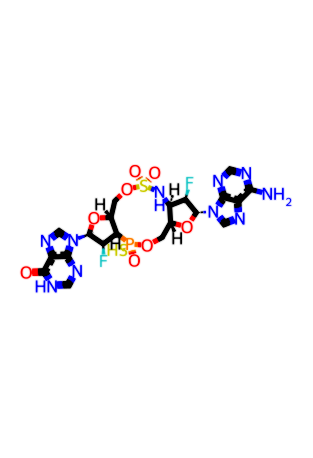 Nc1ncnc2c1ncn2[C@@H]1O[C@@H]2CO[P@](=O)(S)[C@H]3[C@@H](F)[C@@H](n4cnc5c(=O)[nH]cnc54)O[C@@H]3COS(=O)(=O)N[C@H]2[C@H]1F